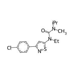 CCN(C(=O)N(C)C(C)C)c1cc(-c2ccc(Cl)cc2)ns1